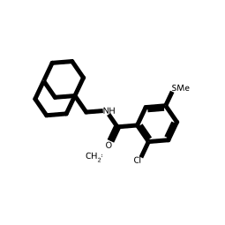 CSc1ccc(Cl)c(C(=O)NCC23CCCC(CCC2)C3)c1.[CH2]